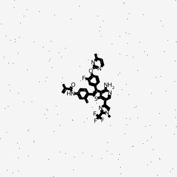 C=C(C)C(=O)Nc1ccc(-c2sc3c(-c4cn(C)c(C(F)(F)F)n4)cnc(N)c3c2-c2ccc(Oc3nccc(C)n3)c(F)c2)c(C)c1